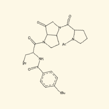 CC(=O)N1CCCC1C(=O)N1CC(=O)C2C1CCN2C(=O)C(CC(C)C)NC(=O)c1ccc(C(C)(C)C)cc1